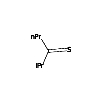 CCCC(=S)C(C)C